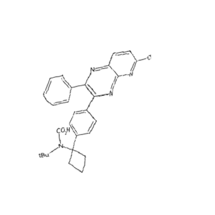 CC(C)(C)N(C(=O)O)C1(c2ccc(-c3nc4nc(Cl)ccc4nc3-c3ccccc3)cc2)CCC1